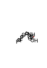 O=C(O)[C@H]1CCC[C@H]1C(=O)Nc1cccc(COc2ccc(-c3ccc(F)cc3F)cc2)c1